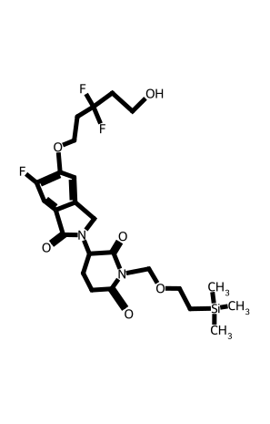 C[Si](C)(C)CCOCN1C(=O)CCC(N2Cc3cc(OCCC(F)(F)CCO)c(F)cc3C2=O)C1=O